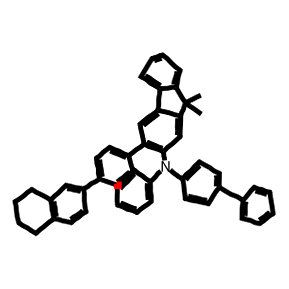 CC1(C)c2ccccc2-c2cc(-c3ccc(-c4ccc5c(c4)CCCC5)cc3)c(N(c3ccccc3)c3ccc(-c4ccccc4)cc3)cc21